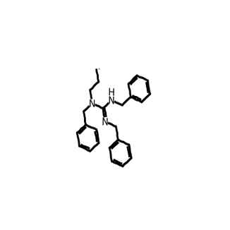 [CH2]CCN(Cc1ccccc1)C(=NCc1ccccc1)NCc1ccccc1